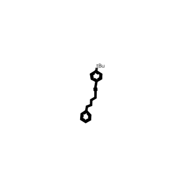 CC(C)(C)c1ccc(C#CCCCCc2ccccc2)cc1